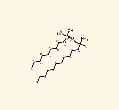 CCCCCCCCCCCC(C)(C)N.CCCCCCCCOP(=O)(O)O